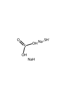 O=S(O)O.[Na+].[NaH].[SH-]